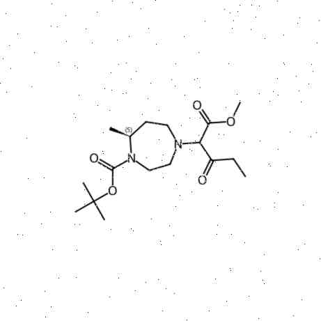 CCC(=O)C(C(=O)OC)N1CC[C@H](C)N(C(=O)OC(C)(C)C)CC1